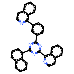 c1cc(-c2nc(-c3cccc4ccccc34)nc(-c3nccc4ccccc34)n2)cc(-c2nccc3ccccc23)c1